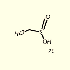 O=S(O)O.[Pt]